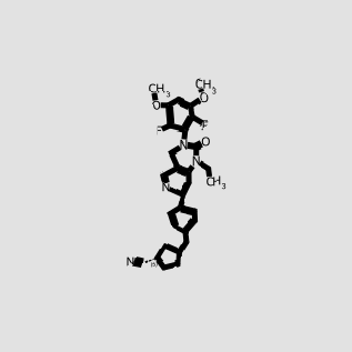 CCN1C(=O)N(c2c(F)c(OC)cc(OC)c2F)Cc2cnc(-c3ccc(CC4CC[C@H](C#N)C4)cc3)cc21